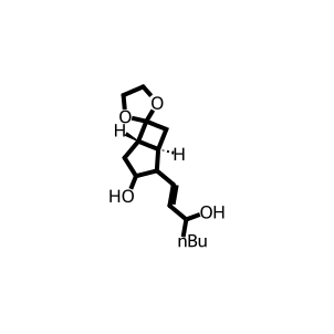 CCCCC(O)C=CC1C(O)C[C@H]2[C@H]1CC21OCCO1